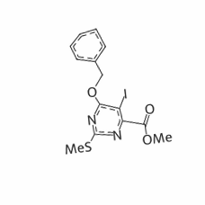 COC(=O)c1nc(SC)nc(OCc2ccccc2)c1I